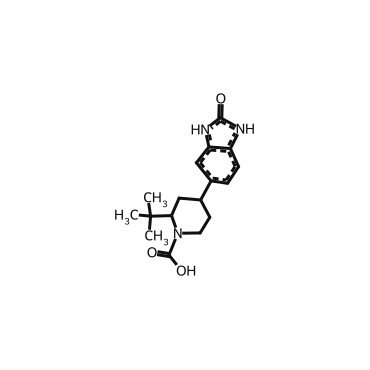 CC(C)(C)C1CC(c2ccc3[nH]c(=O)[nH]c3c2)CCN1C(=O)O